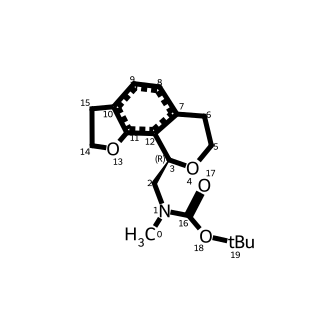 CN(C[C@@H]1OCCc2ccc3c(c21)OCC3)C(=O)OC(C)(C)C